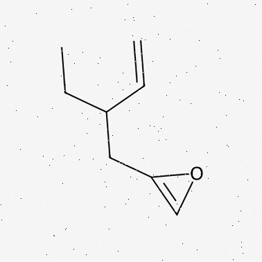 C=CC(CC)CC1=CO1